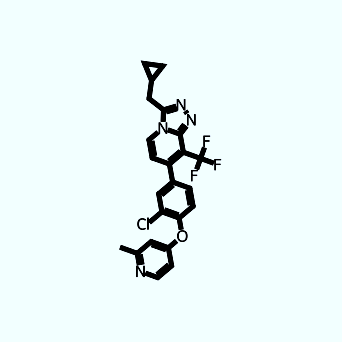 Cc1cc(Oc2ccc(-c3ccn4c(CC5CC5)nnc4c3C(F)(F)F)cc2Cl)ccn1